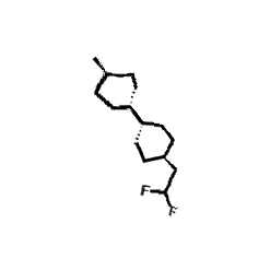 C[C@H]1CC[C@H]([C@H]2CC[C@H](CC(F)F)CC2)CC1